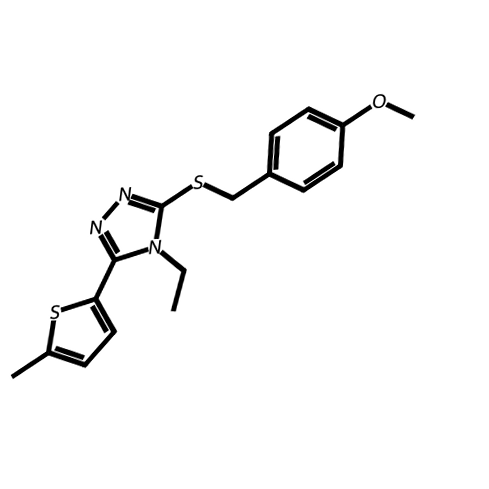 CCn1c(SCc2ccc(OC)cc2)nnc1-c1ccc(C)s1